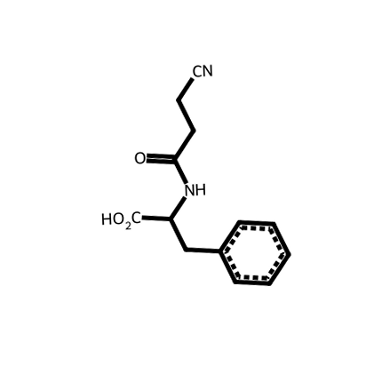 N#CCCC(=O)NC(Cc1ccccc1)C(=O)O